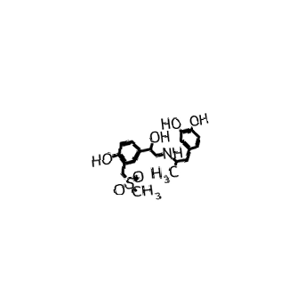 CC(Cc1ccc(O)c(O)c1)NCC(O)c1ccc(O)c(CS(C)(=O)=O)c1